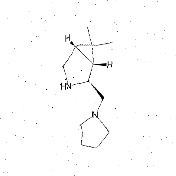 CC1(C)[C@@H]2[C@@H](CN3CCCC3)NC[C@@H]21